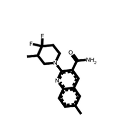 Cc1ccc2nc(N3CCC(F)(F)C(C)C3)c(C(N)=O)cc2c1